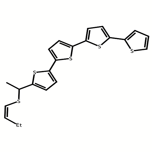 CC/C=C\SC(C)c1ccc(-c2ccc(-c3ccc(-c4cccs4)s3)s2)s1